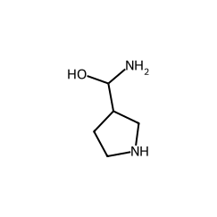 NC(O)C1CCNC1